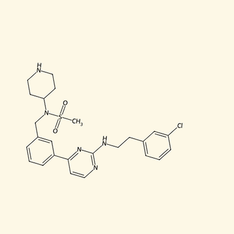 CS(=O)(=O)N(Cc1cccc(-c2ccnc(NCCc3cccc(Cl)c3)n2)c1)C1CCNCC1